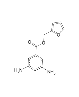 Nc1cc(N)cc(C(=O)OCc2ccco2)c1